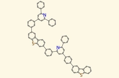 c1ccc(-c2cc(-c3cccc(-c4ccc5sc6cc(-c7cccc(-c8cc(-c9ccc(-c%10ccc%11sc%12ccccc%12c%11c%10)cc9)cc(-c9ccccc9)n8)c7)ccc6c5c4)c3)cc(-c3ccccc3)n2)cc1